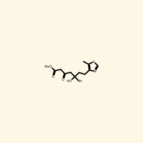 COC(=O)CC(=O)CC(O)(CCc1ncsc1C)C(C)C